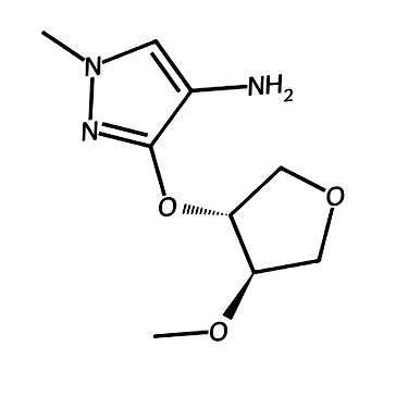 CO[C@@H]1COC[C@H]1Oc1nn(C)cc1N